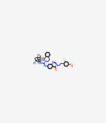 COc1ccc(CCn2cnc3cc(N=C(N[C@H]4C[C@H]5C[C@H]([C@H]4C)C5(C)C)N4CCc5ccccc5C4)ccc3c2=O)c(F)c1